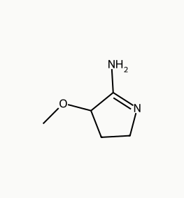 COC1CCN=C1N